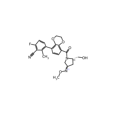 CO/N=C1/C[C@@H](CO)N(C(=O)c2ccc(-c3ccc(F)c(C#N)c3C)c3c2OCCO3)C1